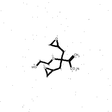 C=C(C(=O)O)C(CC1CO1)(CC1CO1)OCCO